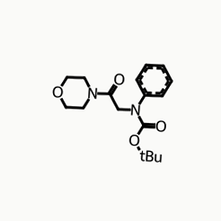 CC(C)(C)OC(=O)N(CC(=O)N1CCOCC1)c1ccccc1